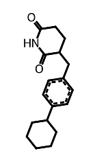 O=C1CCC(Cc2ccc(C3CCCCC3)cc2)C(=O)N1